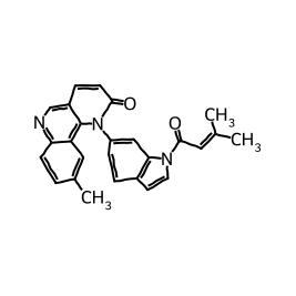 CC(C)=CC(=O)n1ccc2ccc(-n3c(=O)ccc4cnc5ccc(C)cc5c43)cc21